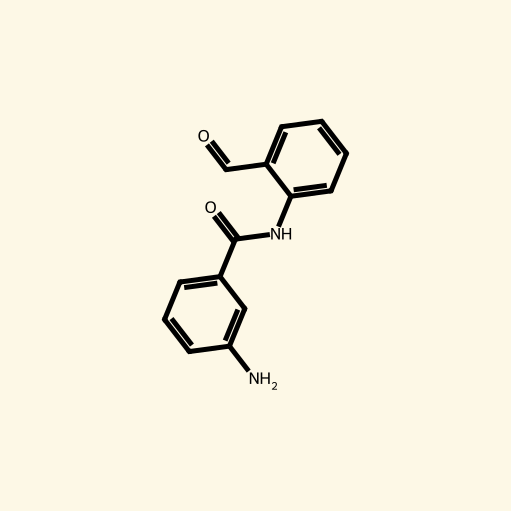 Nc1cccc(C(=O)Nc2ccccc2C=O)c1